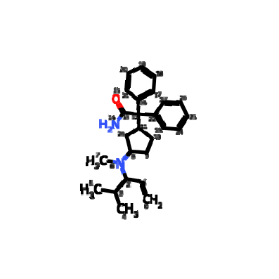 C=CC(C(C)C)N(C)C1CCC(C(C(N)=O)(c2ccccc2)c2ccccc2)C1